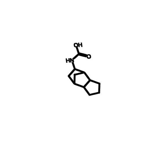 O=C(O)NC1CC2CC1C1CCCC21